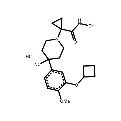 COc1ccc(C2(C#N)CCN(C3(C(=O)NO)CC3)CC2)cc1OC1CCC1.Cl